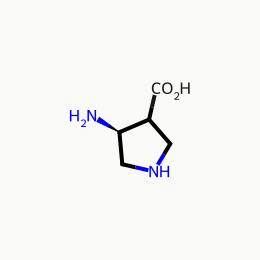 N[C@@H]1CNCC1C(=O)O